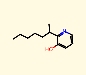 CCCCCC(C)c1ncccc1O